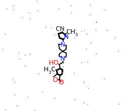 Cc1nc(N2CCC3(CCN(C[C@H](O)c4ccc5c(c4C)COC5=O)CC3)CC2)ccc1C#N